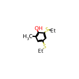 CCSc1cc(C)c(O)c(SCC)c1